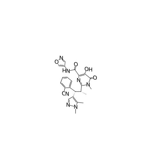 Cc1c([C@H](c2ccccc2C#N)[C@@H](C)c2nc(C(=O)Nc3cnoc3)c(O)c(=O)n2C)cnn1C